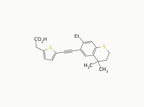 CCc1cc2c(cc1C#Cc1ccc(CC(=O)O)s1)C(C)(C)CCS2